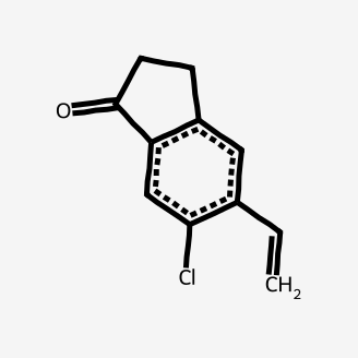 C=Cc1cc2c(cc1Cl)C(=O)CC2